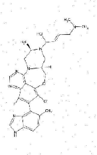 Cc1ccc2[nH]cnc2c1-c1c(Cl)c2c3c(ncnc3c1F)N1C[C@@H](C)N(C(O)/C=C/CN(C)C)C[C@H]1CO2